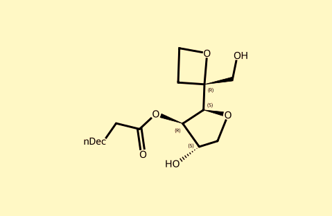 CCCCCCCCCCCC(=O)O[C@@H]1[C@@H](O)CO[C@@H]1[C@]1(CO)CCO1